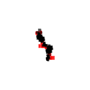 CCC(O)COc1ccc2c(OCC(O)COc3ccc4cc(C(=O)OC)ccc4c3)cccc2c1